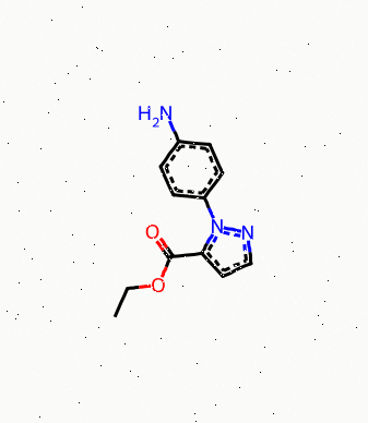 CCOC(=O)c1ccnn1-c1ccc(N)cc1